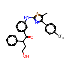 Cc1sc(Nc2cccc(C(=O)C(CCO)c3ccccc3)c2)nc1-c1ccc(C(F)(F)F)cc1